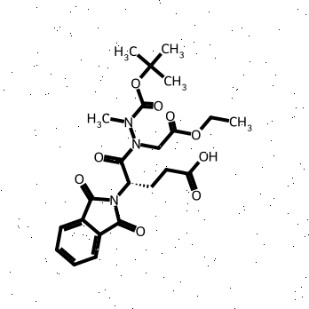 CCOC(=O)CN(C(=O)[C@H](CCC(=O)O)N1C(=O)c2ccccc2C1=O)N(C)C(=O)OC(C)(C)C